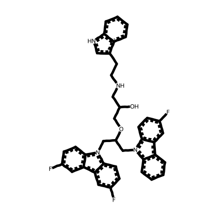 OC(CNCCc1c[nH]c2ccccc12)COC(Cn1c2ccccc2c2cc(F)ccc21)Cn1c2ccc(F)cc2c2cc(F)ccc21